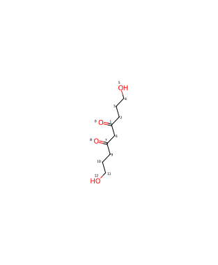 O=C(CCCO)CC(=O)CCCO